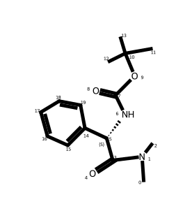 CN(C)C(=O)[C@@H](NC(=O)OC(C)(C)C)c1ccccc1